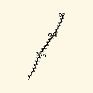 CCCCCCCCCCCCCC(=O)NCCCCCCCCCCC(=O)NCCCCCCCCCCC(C)=O